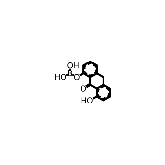 O=C1c2c(O)cccc2Cc2cccc(OB(O)O)c21